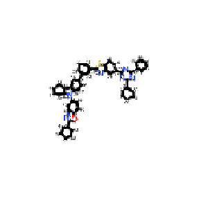 C1=CC(c2nc(-c3ccccc3)nc(-c3ccc4sc(-c5cccc(-c6ccc7c(c6)c6ccccc6n7-c6ccc7oc(-c8ccccc8)nc7c6)c5)nc4c3)n2)=CCC1